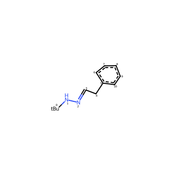 CC(C)(C)N/N=C/Cc1ccccc1